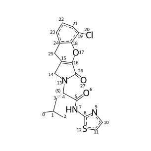 CC(C)C[C@@H](C(=O)Nc1nccs1)N1CC2=C(Oc3c(Cl)cccc3C2)C1=O